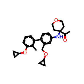 CC(=O)C1(Nc2ccc(-c3cccc(OC4CC4)c3C)c(COC3CC3)c2)CCOCC1